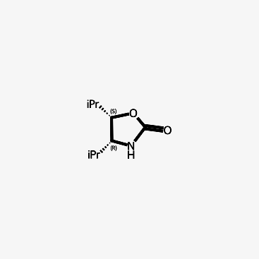 CC(C)[C@H]1NC(=O)O[C@H]1C(C)C